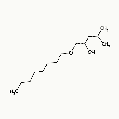 CCCCCCCCOCC(O)CC(C)C